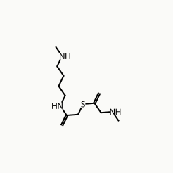 C=C(CSC(=C)CNC)NCCCCNC